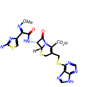 CO/N=C(\C(=O)N[C@@H]1C(=O)N2C(C(=O)O)=C(CSc3ncnc4[nH]cnc34)CS[C@H]12)c1csc(N)n1